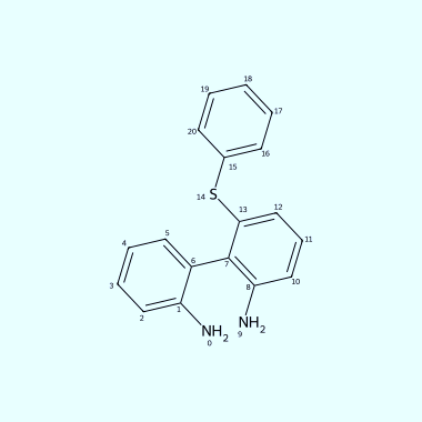 Nc1ccccc1-c1c(N)cccc1Sc1ccccc1